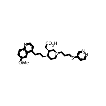 COc1ccc2nccc(CCC[C@@H]3CCN(CCCSc4ccnnc4)C[C@@H]3CC(=O)O)c2c1